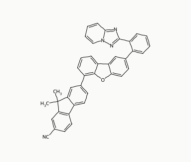 CC1(C)c2cc(C#N)ccc2-c2ccc(-c3cccc4c3oc3ccc(-c5ccccc5-c5nc6ccccn6n5)cc34)cc21